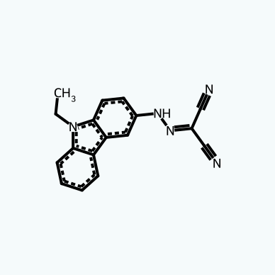 CCn1c2ccccc2c2cc(NN=C(C#N)C#N)ccc21